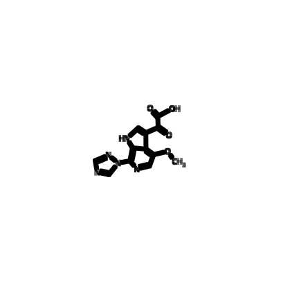 COc1cnc(-n2cncn2)c2[nH]cc(C(=O)C(=O)O)c12